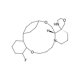 FC1CCCC2C3CCC(CC3)OC[C@H]3N(CCCOC12)CCC[C@]31COCCN1